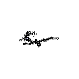 CCCCCCc1cc(-c2sc(-c3ccc4c(c3)c3ccccc3n4CCCCCCCCCCOC=O)cc2CCCCCC)sc1/C=C(\C#N)C(=O)N(CC(=O)O)CC(=O)O